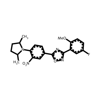 COc1ccc(F)cc1-c1noc(-c2ccc(N3C(C)CCC3C)c([N+](=O)[O-])c2)n1